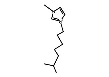 CC(C)CCCCC[n+]1ccn(C)c1